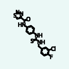 O=C(Nc1ccc(NC(=S)NCc2ccc(F)c(Cl)c2)cc1)c1csnn1